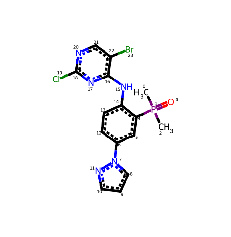 CP(C)(=O)c1cc(-n2cccn2)ccc1Nc1nc(Cl)ncc1Br